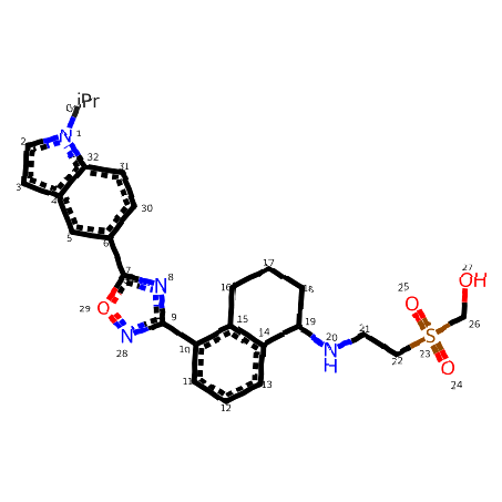 CC(C)n1ccc2cc(-c3nc(-c4cccc5c4CCCC5NCCS(=O)(=O)CO)no3)ccc21